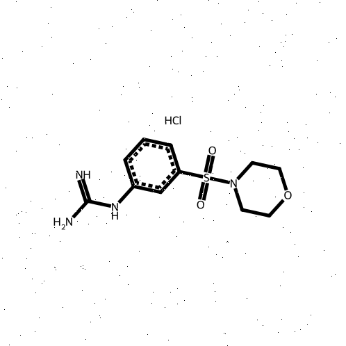 Cl.N=C(N)Nc1cccc(S(=O)(=O)N2CCOCC2)c1